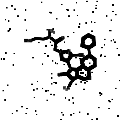 COCCN(C)C(=O)Cn1cc(-n2c(=O)n(C)c3cnc4ccc(-c5ccccc5)cc4c32)c(C)n1